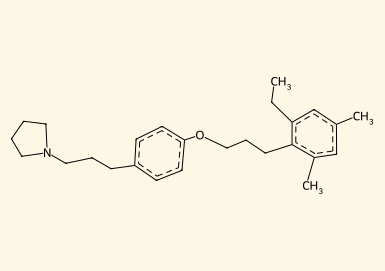 CCc1cc(C)cc(C)c1CCCOc1ccc(CCCN2CCCC2)cc1